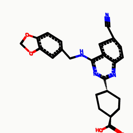 N#Cc1ccc2nc([C@H]3CC[C@H](C(=O)O)CC3)nc(NCc3ccc4c(c3)OCO4)c2c1